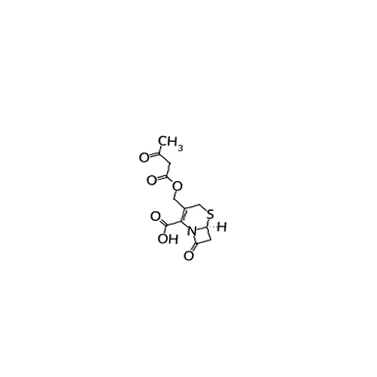 CC(=O)CC(=O)OCC1=C(C(=O)O)N2C(=O)C[C@@H]2SC1